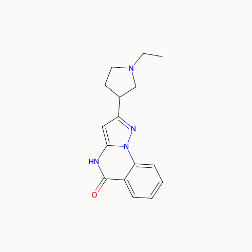 CCN1CCC(c2cc3[nH]c(=O)c4ccccc4n3n2)C1